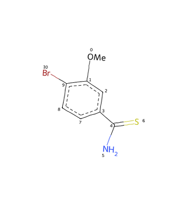 COc1cc(C(N)=S)ccc1Br